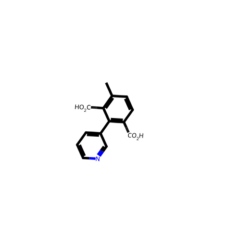 Cc1ccc(C(=O)O)c(-c2cccnc2)c1C(=O)O